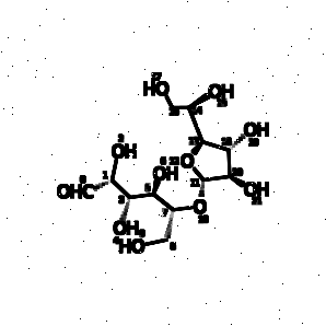 O=C[C@H](O)[C@@H](O)[C@@H](O)[C@@H](CO)O[C@@H]1O[C@@H]([C@H](O)CO)[C@H](O)[C@H]1O